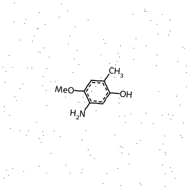 COc1cc(C)c(O)cc1N